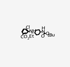 CCOC(=O)c1ccc(Cl)c(NC[C@H]2CC[C@H](NC(=O)OC(C)(C)C)CC2)c1